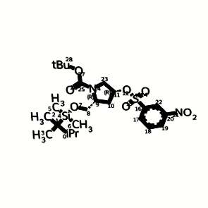 CC(C)C(C)(C)[Si](C)(C)OC[C@H]1C[C@@H](OS(=O)(=O)c2cccc([N+](=O)[O-])c2)CN1C(=O)OC(C)(C)C